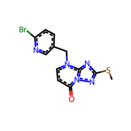 CSc1nc2n(Cc3ccc(Br)nc3)ccc(=O)n2n1